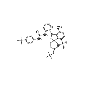 CC(C)(C)CN1CCC2(CC1)CN(c1ncccc1NC(=O)Nc1ccc(C(C)(C)C)cc1)c1c(O)ccc(C(F)(F)F)c12